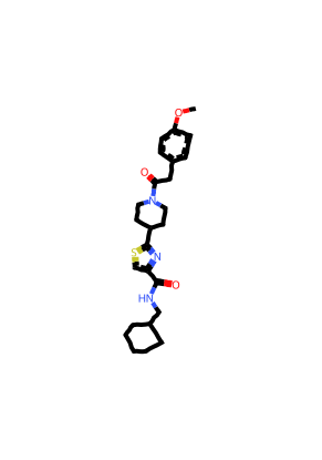 COc1ccc(CC(=O)N2CCC(c3nc(C(=O)NCC4CCCCC4)cs3)CC2)cc1